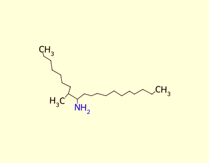 CCCCCCCCCCCC(N)C(C)CCCCCCC